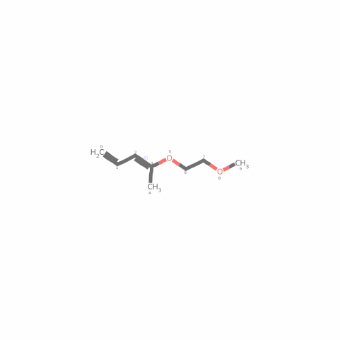 C=C/C=C(\C)OCCOC